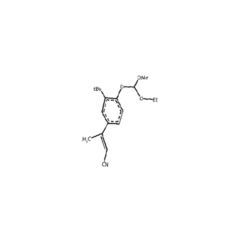 CCOC(OC)Oc1ccc(C(C)=CC#N)cc1C(C)(C)C